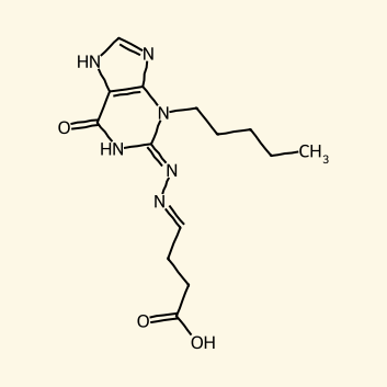 CCCCCn1c(=NN=CCCC(=O)O)[nH]c(=O)c2[nH]cnc21